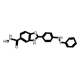 O=C(NO)c1ccc2c(c1)NC(c1ccc(NSc3ccccc3)cc1)O2